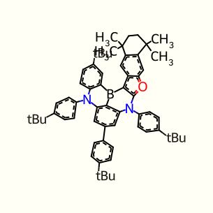 CC(C)(C)c1ccc(-c2cc3c4c(c2)N(c2ccc(C(C)(C)C)cc2)c2oc5cc6c(cc5c2B4c2cc(C(C)(C)C)ccc2N3c2ccc(C(C)(C)C)cc2)C(C)(C)CCC6(C)C)cc1